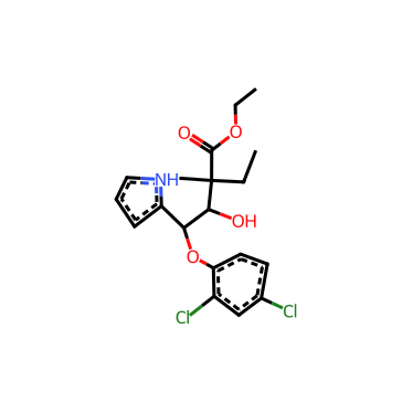 CCOC(=O)C(C)(CC)C(O)C(Oc1ccc(Cl)cc1Cl)c1ccc[nH]1